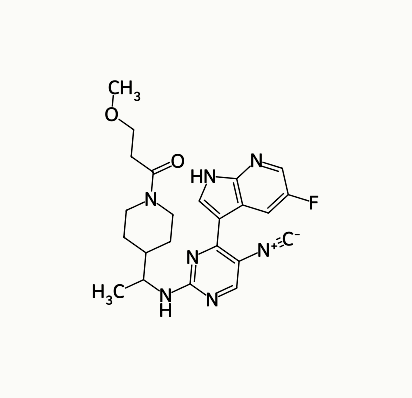 [C-]#[N+]c1cnc(NC(C)C2CCN(C(=O)CCOC)CC2)nc1-c1c[nH]c2ncc(F)cc12